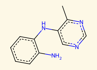 Cc1ncncc1Nc1ccccc1N